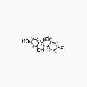 O=C(Cc1ccc(F)cc1Cl)c1ccc(O)cc1O